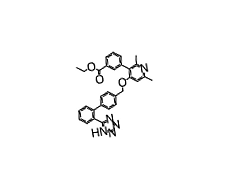 CCOC(=O)c1cccc(-c2c(OCc3ccc(-c4ccccc4-c4nnn[nH]4)cc3)cc(C)nc2C)c1